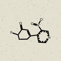 O=C1C=C(c2ccncc2[N+](=O)[O-])CCC1F